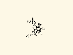 Cc1nc(C)c(C(=O)C(=O)OC(C)C)c(N2CCC(C)(C#N)CC2)c1Br